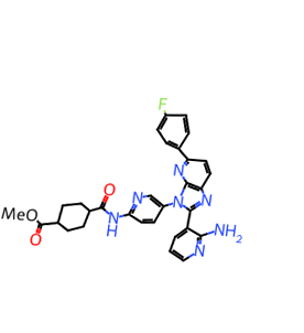 COC(=O)C1CCC(C(=O)Nc2ccc(-n3c(-c4cccnc4N)nc4ccc(-c5ccc(F)cc5)nc43)cn2)CC1